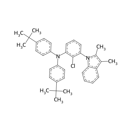 Cc1c(C)n(-c2cccc(N(c3ccc(C(C)(C)C)cc3)c3ccc(C(C)(C)C)cc3)c2Cl)c2ccccc12